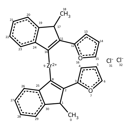 CC1C(c2ccco2)=[C]([Zr+2][C]2=C(c3ccco3)C(C)c3ccccc32)c2ccccc21.[Cl-].[Cl-]